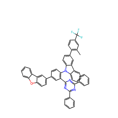 Cc1cc(C(F)(F)F)ccc1-c1ccc2c(c1)c1ccccc1n2-c1ccc(-c2ccc3oc4ccccc4c3c2)cc1-c1nc(-c2ccccc2)nc(-c2ccccc2)n1